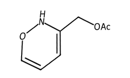 CC(=O)OCC1=CC=CON1